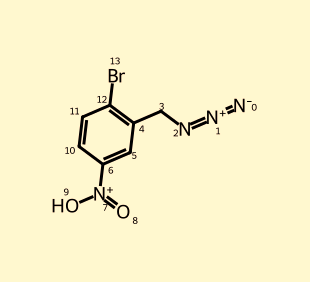 [N-]=[N+]=NCc1cc([N+](=O)O)ccc1Br